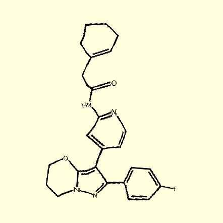 O=C(CC1=CCCCC1)Nc1cc(-c2c(-c3ccc(F)cc3)nn3c2OCCC3)ccn1